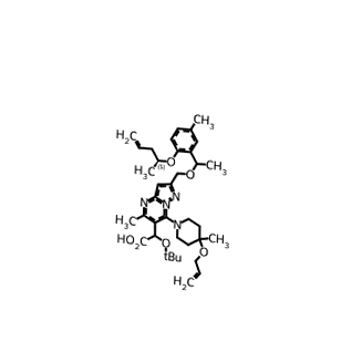 C=CCOC1(C)CCN(c2c(C(OC(C)(C)C)C(=O)O)c(C)nc3cc(COC(C)c4cc(C)ccc4O[C@@H](C)CC=C)nn23)CC1